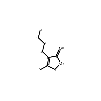 CCCCC1=C(C)COC1=O